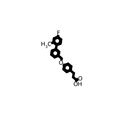 Cc1cc(F)ccc1-c1cccc(COc2ccc(CCC(=O)O)cc2)c1